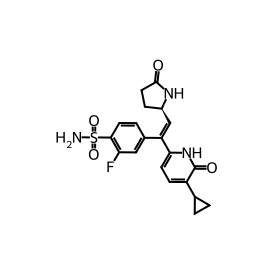 NS(=O)(=O)c1ccc(/C(=C\[C@H]2CCC(=O)N2)c2ccc(C3CC3)c(=O)[nH]2)cc1F